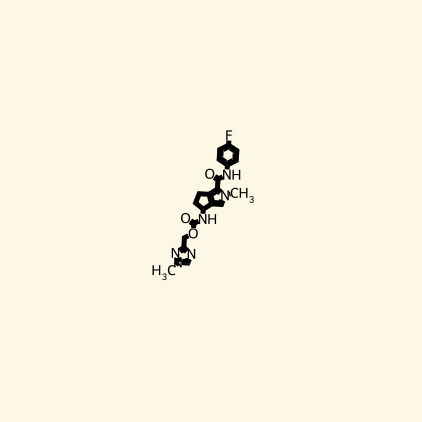 Cn1cnc(COC(=O)NC2CCc3c2cn(C)c3C(=O)Nc2ccc(F)cc2)n1